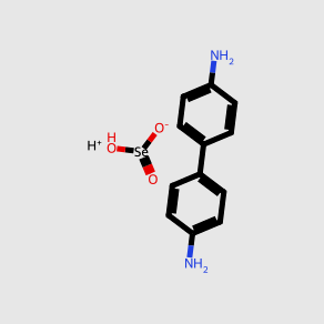 Nc1ccc(-c2ccc(N)cc2)cc1.O=[Se]([O-])O.[H+]